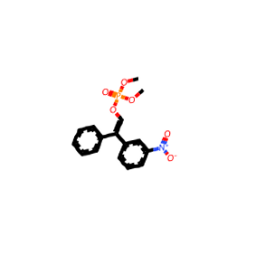 COP(=O)(OC)O/C=C(\c1ccccc1)c1cccc([N+](=O)[O-])c1